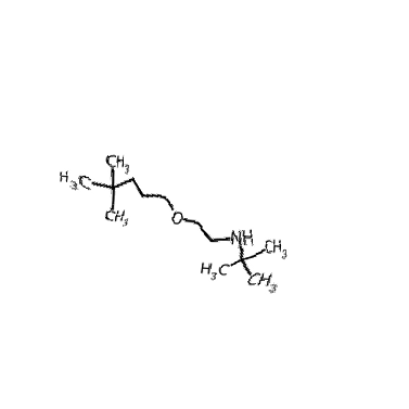 CC(C)(C)CCCOCCNC(C)(C)C